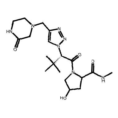 CNC(=O)C1CC(O)CN1C(=O)[C@@H](n1cc(CN2CCNC(=O)C2)nn1)C(C)(C)C